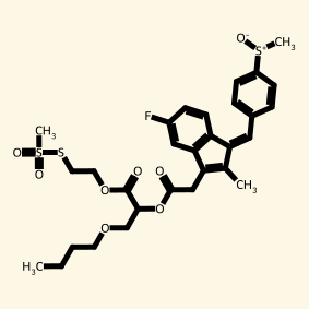 CCCCOCC(OC(=O)CC1=C(C)/C(=C/c2ccc([S+](C)[O-])cc2)c2ccc(F)cc21)C(=O)OCCSS(C)(=O)=O